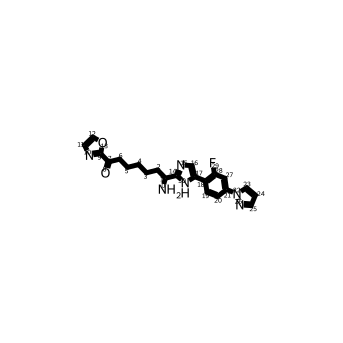 NC(CCCCCC(=O)c1ncco1)c1ncc(-c2ccc(-n3cccn3)cc2F)[nH]1